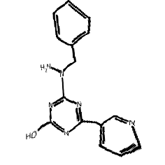 NN(Cc1ccccc1)c1nc(O)nc(-c2cccnc2)n1